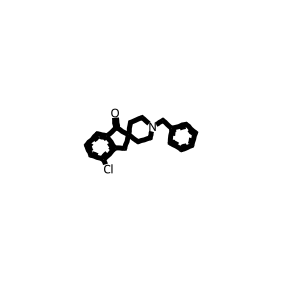 O=C1c2cccc(Cl)c2CC12CCN(Cc1ccccc1)CC2